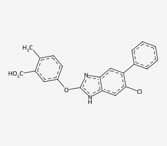 Cc1ccc(Oc2nc3cc(-c4ccccc4)c(Cl)cc3[nH]2)cc1C(=O)O